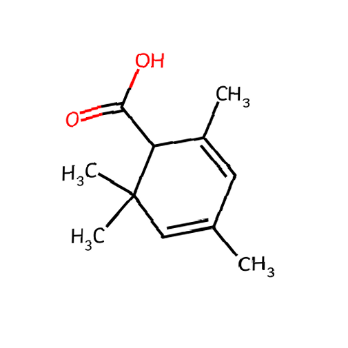 CC1=CC(C)(C)C(C(=O)O)C(C)=C1